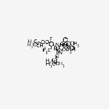 Cc1ccccc1S(=O)(=O)Nc1ccccc1CNc1nc(-c2cc(F)c(OCOCC[Si](C)(C)C)cc2CC(F)(F)F)nc2c1c(C(=O)O)nn2COCC[Si](C)(C)C